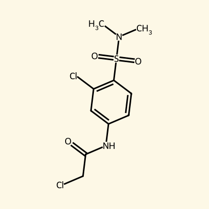 CN(C)S(=O)(=O)c1ccc(NC(=O)CCl)cc1Cl